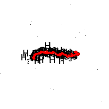 Cn1cc(NC(=O)c2nc(NC(=O)CCNC(=O)c3cc(NC(=O)c4nccn4C)cn3C)cn2C)cc1C(=O)NCCCC(=O)Nc1cn(C)c(C(=O)NCCC(=O)Nc2cc(C(=O)Nc3cn(C)c(C(=O)NCCC(=O)Nc4ccc(C#CC#CCN(CCOCCN)C(=O)OCC5c6ccccc6-c6ccccc65)cc4)n3)n(C)c2)n1